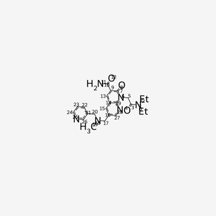 CCN(CC)C(=O)Cn1c(=O)c(C(N)=O)cc2cc(CN(C)Cc3cccnc3)cnc21